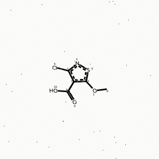 COc1snc(Cl)c1C(=O)O